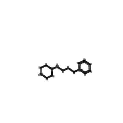 c1ccc(CCCOC2CC[N]CC2)cc1